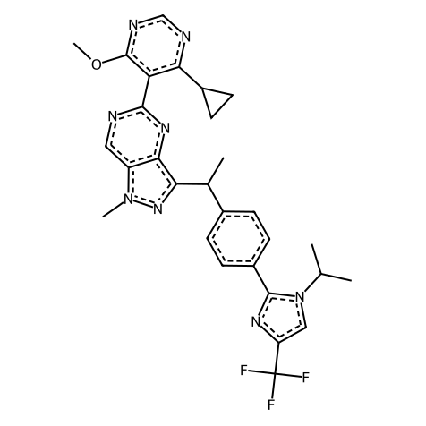 COc1ncnc(C2CC2)c1-c1ncc2c(n1)c(C(C)c1ccc(-c3nc(C(F)(F)F)cn3C(C)C)cc1)nn2C